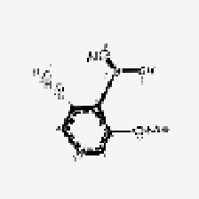 COc1cnccc1B(O)O.O.O